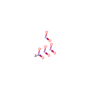 O=P[O-].O=P[O-].O=P[O-].O=P[O-].[Zr+4]